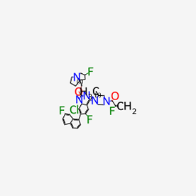 C=C(F)C(=O)N1CCN(c2nc(OC[C@@]34CCCN3CC(F)C4)nc3cc(-c4cccc5ccc(F)c(Cl)c45)c(F)cc23)[C@@H](C)C1